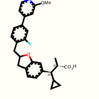 COc1cc(-c2ccc(CC3Cc4ccc([C@H](C5CC5)[C@H](C)C(=O)O)cc4O3)c(F)c2)ccn1